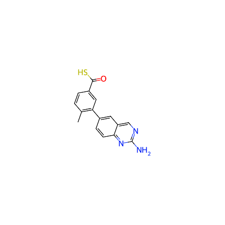 Cc1ccc(C(=O)S)cc1-c1ccc2nc(N)ncc2c1